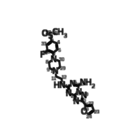 C[S@+]([O-])c1ccc(N2CCN(CCNc3nc(N)n4nc(-c5ccco5)nc4n3)CC2)c(F)c1